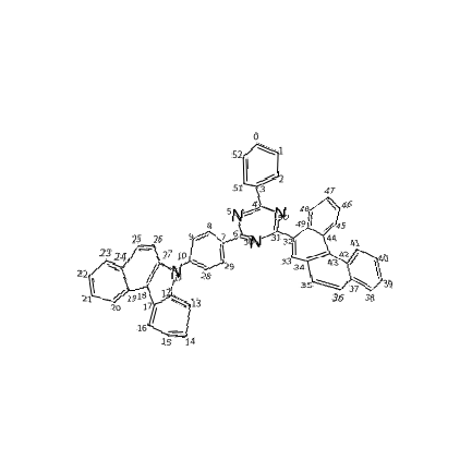 c1ccc(-c2nc(-c3ccc(-n4c5ccccc5c5c6ccccc6ccc54)cc3)nc(-c3cc4ccc5ccccc5c4c4ccccc34)n2)cc1